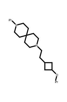 CC(C)OC1CC(CCN2CCC3(CC2)CCN(C(C)C)CC3)C1